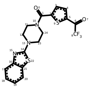 O=C(c1ccc(C(=O)C(F)(F)F)s1)N1CCN(c2nc3ccccc3s2)CC1